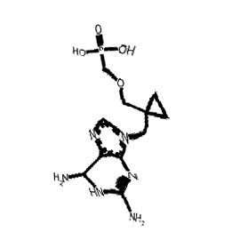 NC1=Nc2c(ncn2CC2(COCP(=O)(O)O)CC2)C(N)N1